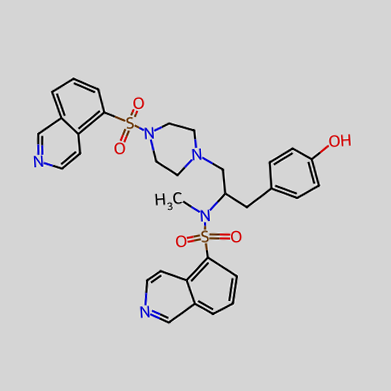 CN(C(Cc1ccc(O)cc1)CN1CCN(S(=O)(=O)c2cccc3cnccc23)CC1)S(=O)(=O)c1cccc2cnccc12